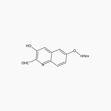 CCCCCCOc1ccc2nc(C=O)c(O)cc2c1